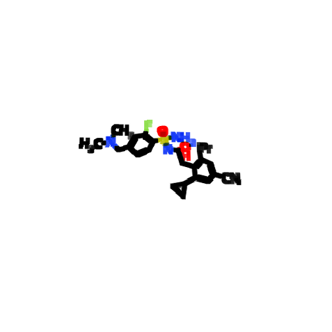 CC(C)c1cc(C#N)cc(C2CC2)c1CC(O)N=S(N)(=O)c1ccc(CN(C)C)cc1F